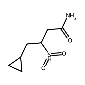 NC(=O)CC(CC1CC1)[SH](=O)=O